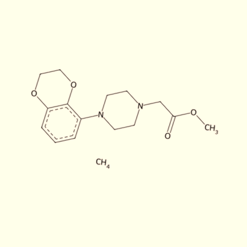 C.COC(=O)CN1CCN(c2cccc3c2OCCO3)CC1